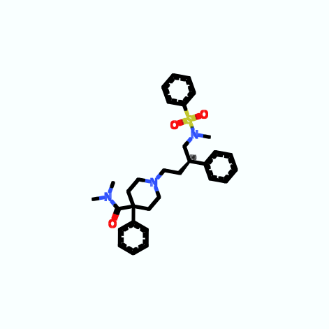 CN(C)C(=O)C1(c2ccccc2)CCN(CC[C@@H](CN(C)S(=O)(=O)c2ccccc2)c2ccccc2)CC1